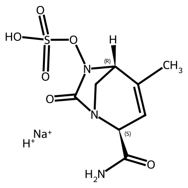 CC1=C[C@@H](C(N)=O)N2C[C@@H]1N(OS(=O)(=O)O)C2=O.[H+].[Na+]